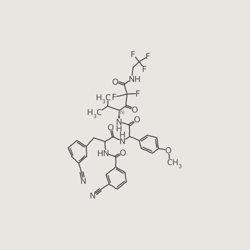 COc1ccc(C(NC(=O)C(Cc2cccc(C#N)c2)NC(=O)c2cccc(C#N)c2)C(=O)N[C@H](C(=O)C(F)(F)C(=O)NCC(F)(F)F)C(C)C)cc1